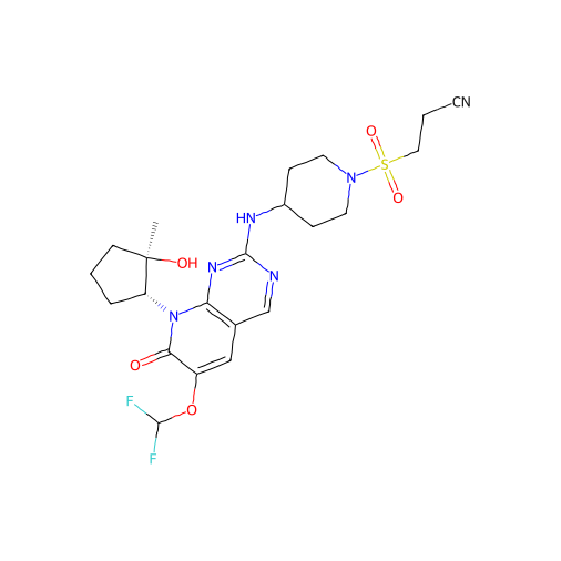 C[C@@]1(O)CCC[C@H]1n1c(=O)c(OC(F)F)cc2cnc(NC3CCN(S(=O)(=O)CCC#N)CC3)nc21